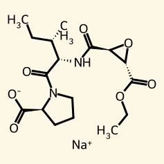 CCOC(=O)[C@H]1O[C@@H]1C(=O)N[C@H](C(=O)N1CCC[C@H]1C(=O)[O-])[C@@H](C)CC.[Na+]